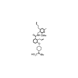 C=CCCc1cc(C)nc(OC)c1CNC(=O)c1cccc(O[C@H]2CC[C@H](N(C(=O)O)C(C)(C)C)CC2)c1CC=C